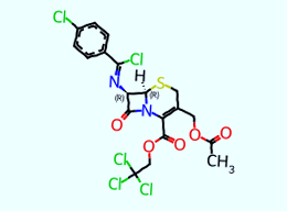 CC(=O)OCC1=C(C(=O)OCC(Cl)(Cl)Cl)N2C(=O)[C@@H](N=C(Cl)c3ccc(Cl)cc3)[C@H]2SC1